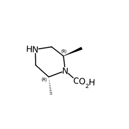 C[C@@H]1CNC[C@@H](C)N1C(=O)O